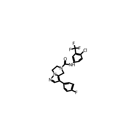 O=C(Nc1ccc(Cl)c(C(F)(F)F)c1)N1CCn2ncc(-c3ccc(F)cc3)c2C1